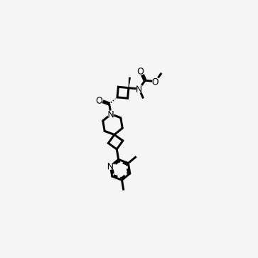 COC(=O)N(C)[C@]1(C)C[C@H](C(=O)N2CCC3(CC2)CC(c2ncc(C)cc2C)C3)C1